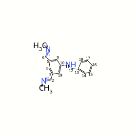 C/N=C/c1cc(/C=N/C)cc(NCc2ccccc2)c1